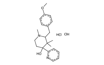 COc1ccc(CC2N(C)CCC(O)(c3ccccn3)C2(C)C)cc1.Cl.Cl